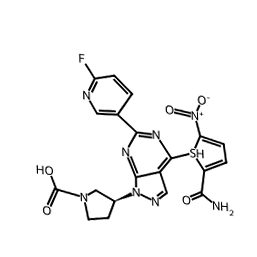 NC(=O)C1=CC=C([N+](=O)[O-])[SH]1c1nc(-c2ccc(F)nc2)nc2c1cnn2[C@H]1CCN(C(=O)O)C1